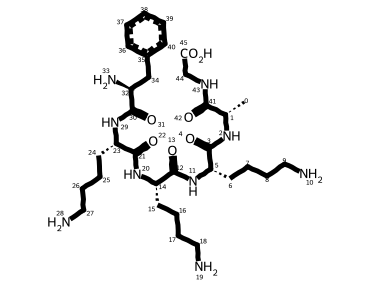 C[C@H](NC(=O)[C@H](CCCCN)NC(=O)[C@H](CCCCN)NC(=O)[C@H](CCCCN)NC(=O)[C@@H](N)Cc1ccccc1)C(=O)NCC(=O)O